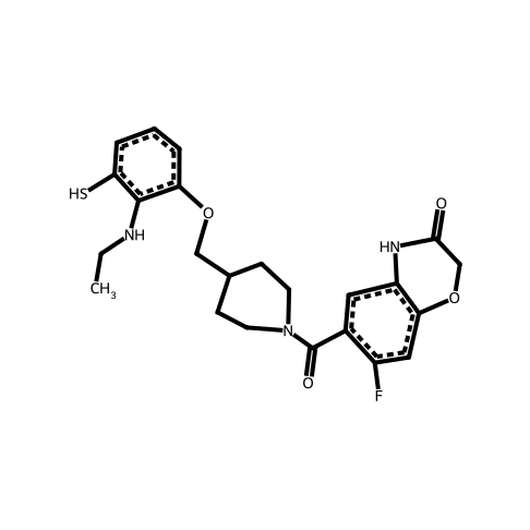 CCNc1c(S)cccc1OCC1CCN(C(=O)c2cc3c(cc2F)OCC(=O)N3)CC1